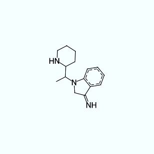 CC(C1CCCCN1)N1CC(=N)c2ccccc21